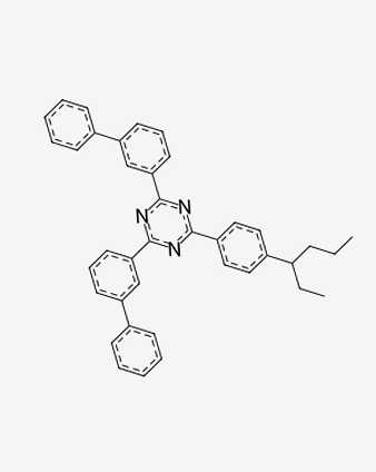 CCCC(CC)c1ccc(-c2nc(-c3cccc(-c4ccccc4)c3)nc(-c3cccc(-c4ccccc4)c3)n2)cc1